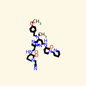 COc1ccc(CN(C)c2cc(Nc3cccn(-c4ccccn4)c3=O)nn3c(C(=O)N[C@@H]4CCCN(CC#N)C4=O)cnc23)cc1